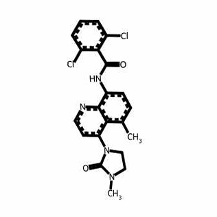 Cc1ccc(NC(=O)c2c(Cl)cccc2Cl)c2nccc(N3CCN(C)C3=O)c12